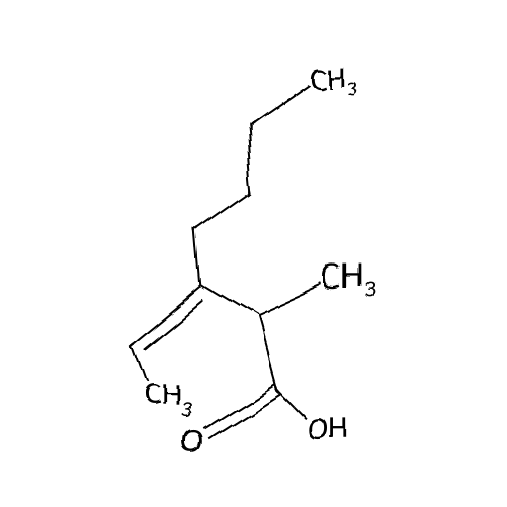 CC=C(CCCC)C(C)C(=O)O